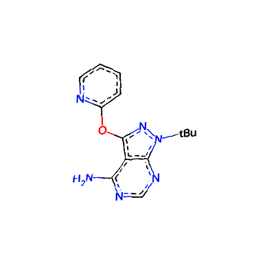 CC(C)(C)n1nc(Oc2ccccn2)c2c(N)ncnc21